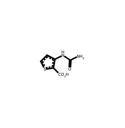 NC(=O)Nc1ccsc1C(=O)O